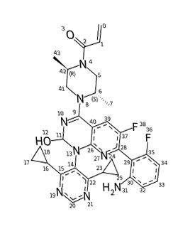 C=CC(=O)N1C[C@H](C)N(C2=NC(O)N(c3c(C4CC4)ncnc3C3CC3)c3nc(-c4c(N)cccc4F)c(F)cc32)C[C@H]1C